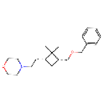 CC1(C)[C@H](COCc2ccccc2)C[C@@H]1CCN1CCOCC1